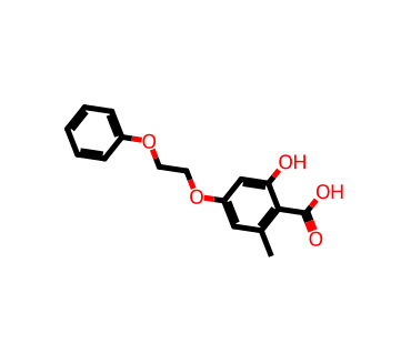 Cc1cc(OCCOc2ccccc2)cc(O)c1C(=O)O